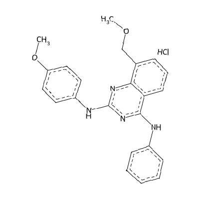 COCc1cccc2c(Nc3ccccc3)nc(Nc3ccc(OC)cc3)nc12.Cl